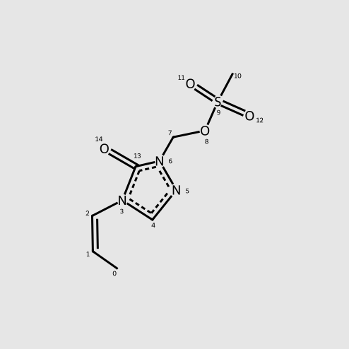 C/C=C\n1cnn(COS(C)(=O)=O)c1=O